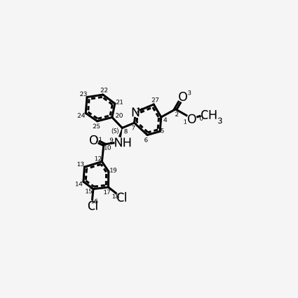 COC(=O)c1ccc([C@@H](NC(=O)c2ccc(Cl)c(Cl)c2)c2ccccc2)nc1